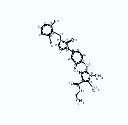 CCOC(=O)c1nc(Oc2ccc(-n3ncn(Cc4c(F)cccc4F)c3=O)cc2F)n(C)c1C